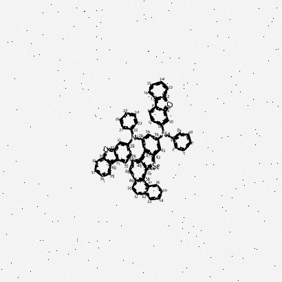 c1ccc(N(c2ccc3c(c2)oc2ccccc23)c2cc(N(c3ccccc3)c3ccc4c(c3)oc3ccccc34)c3c(c2)[se]c2c3ccc3ccc4ccccc4c32)cc1